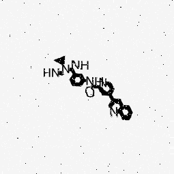 N=CN(C(=N)c1cccc(NC(=O)c2cc(-c3cnc4ccccc4c3)ccn2)c1)C1CC1